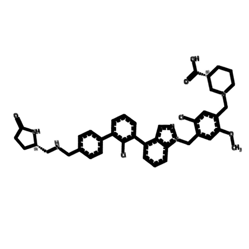 COc1cc(Cn2ncc3c(-c4cccc(-c5ccc(CNC[C@@H]6CCC(=O)N6)cc5)c4Cl)cccc32)c(Cl)cc1CN1CCC[C@@H](C(=O)O)C1